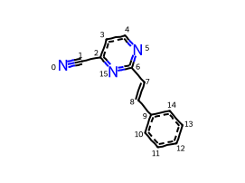 N#Cc1ccnc(C=Cc2ccccc2)n1